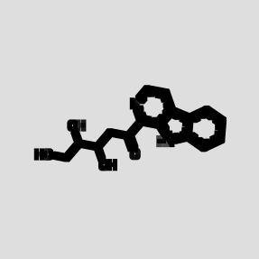 O=C(CC(O)C(O)CO)c1nccc2c1[nH]c1ccccc12